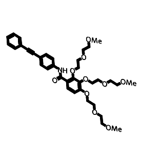 COCCOCCOc1ccc(C(=O)Nc2ccc(C#Cc3ccccc3)cc2)c(OCCOCCOC)c1OCCOCCOC